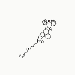 Cc1ccccc1-c1nc(-c2ccccc2)n(Cc2ccc(C(=O)NCCOCCOCCN)cc2)c1-c1ccccc1C